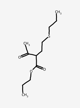 CCCOC(=O)C(CCSCCC)C(C)=O